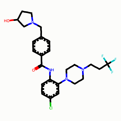 O=C(Nc1ccc(Cl)cc1N1CCN(CCC(F)(F)F)CC1)c1ccc(CN2CCC(O)C2)cc1